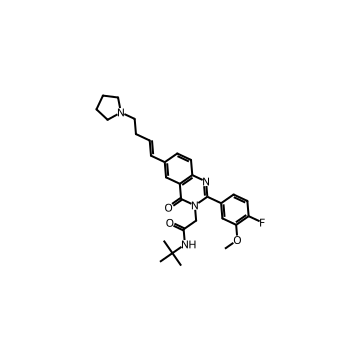 COc1cc(-c2nc3ccc(C=CCCN4CCCC4)cc3c(=O)n2CC(=O)NC(C)(C)C)ccc1F